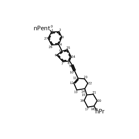 CCCCCc1ccc(-c2ccc(C#CC3=CCC(C4CCC(CCC)CC4)CC3)cc2)cc1